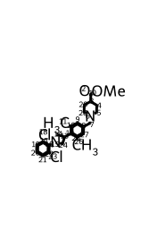 COC(=O)C1CCN(Cc2cc(C)c(C3CN(c4c(Cl)cccc4Cl)C3)c(C)c2)CC1